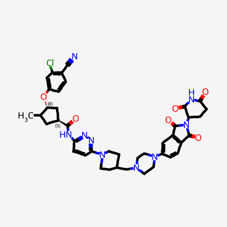 CC1C[C@H](C(=O)Nc2ccc(N3CCC(CN4CCN(c5ccc6c(c5)C(=O)N(C5CCC(=O)NC5=O)C6=O)CC4)CC3)nn2)C[C@H]1Oc1ccc(C#N)c(Cl)c1